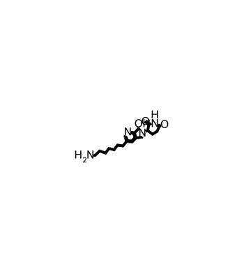 NCCCCCCCc1cnc2c(c1)CN(C1CCC(=O)NC1=O)C2O